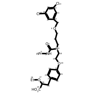 CCCNC(=O)N(CCCOCc1cc(Cl)cc(Cl)c1)CCOc1ccc(CC(OCC)C(=O)O)cc1